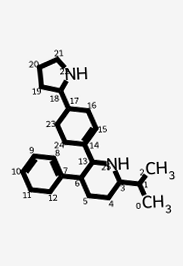 CC(C)C1CCC(C2=CC=CCC2)C(C2=CCC(C3CCCN3)CC2)N1